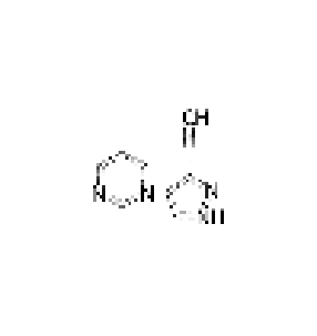 C#Cc1cc[nH]n1.c1cncnc1